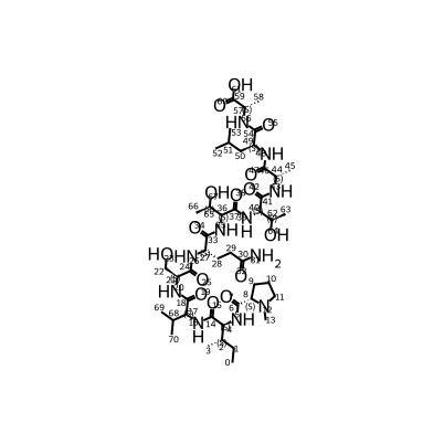 CC[C@H](C)[C@H](NC(=O)[C@@H]1CCCN1C)C(=O)N[C@H](C(=O)N[C@@H](CO)C(=O)N[C@@H](CCC(N)=O)C(=O)N[C@H](C(=O)N[C@H](C(=O)N[C@@H](C)C(=O)N[C@@H](CC(C)C)C(=O)N[C@@H](C)C(=O)O)[C@@H](C)O)[C@@H](C)O)C(C)C